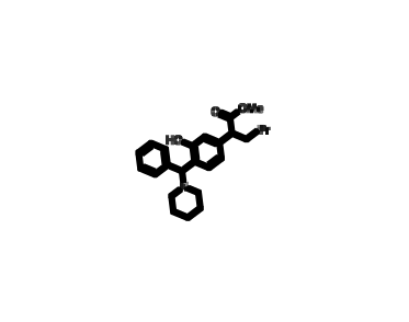 COC(=O)C(CC(C)C)c1ccc(C(c2ccccc2)N2CCCCC2)c(O)c1